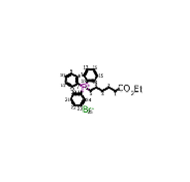 CCOC(=O)CCCCC[P+](c1ccccc1)(c1ccccc1)c1ccccc1.[Br-]